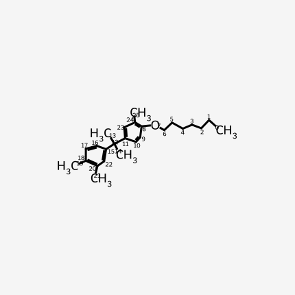 CCCCCCCOc1ccc(C(C)(C)c2ccc(C)c(C)c2)cc1C